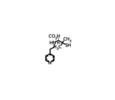 CC(C)(S)[C@H](NCCc1ccncc1)C(=O)O